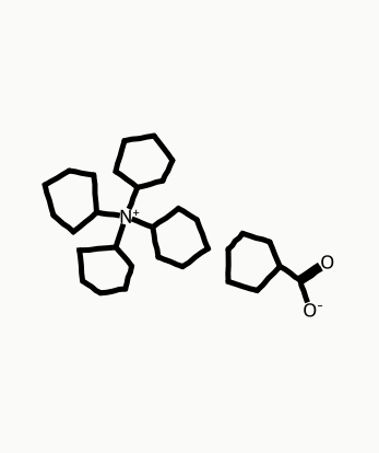 C1CCC([N+](C2CCCCC2)(C2CCCCC2)C2CCCCC2)CC1.O=C([O-])C1CCCCC1